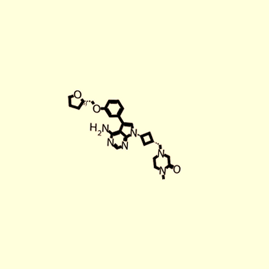 CN1CCN(C[C@H]2C[C@@H](n3cc(-c4cccc(OC[C@@H]5CCCO5)c4)c4c(N)ncnc43)C2)CC1=O